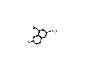 O=C(O)c1cc(Br)c2cc(F)ccc2c1